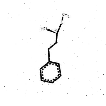 NC[C@H](O)[CH]Cc1ccccc1